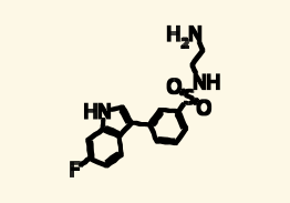 NCCNS(=O)(=O)c1cccc(-c2c[nH]c3cc(F)ccc23)c1